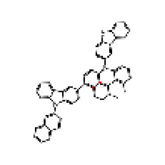 Cc1cccc(N(c2ccc(-c3ccc4c(c3)c3ccccc3n4-c3ccc4ccccc4c3)cc2)c2ccc3sc4ccccc4c3c2)c1C1=CC=CCC1C